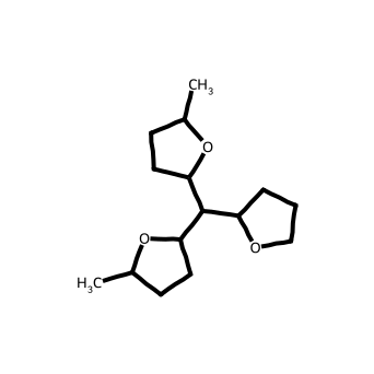 CC1CCC(C(C2CCCO2)C2CCC(C)O2)O1